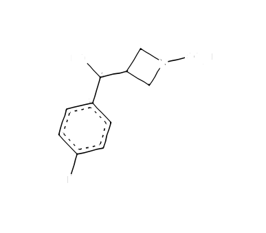 O=C(O)N1CC(C(O)c2ccc(F)cc2)C1